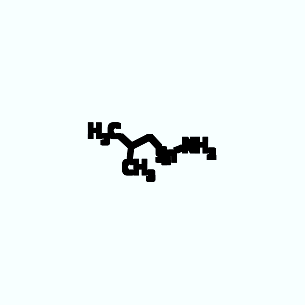 CC(C)[CH2][Sn][NH2]